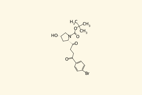 CC(C)(C)OC(=O)N1C[C@@H](O)C[C@H]1C(=O)CCC(=O)c1ccc(Br)cc1